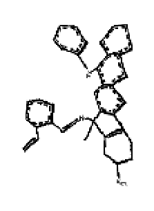 C=Cc1ccccc1/C=N/C1(C)C2=C(CCC(N)C2)c2cc3cc4ccccc4c(Nc4ccccc4)c3cc21